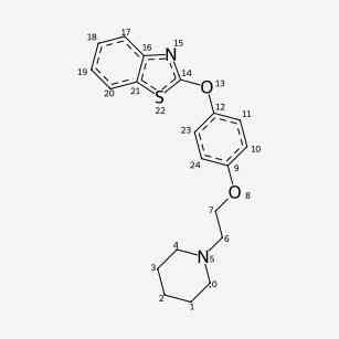 [CH]1CCCCN1CCOc1ccc(Oc2nc3ccccc3s2)cc1